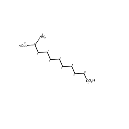 CCCCCCCCC(N)CCCCCCCCC(=O)O